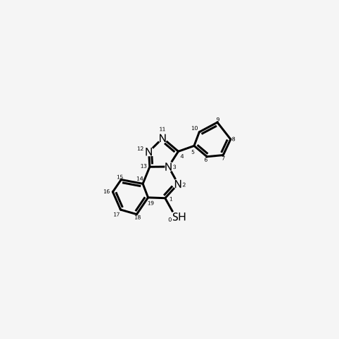 Sc1nn2c(-c3ccccc3)nnc2c2ccccc12